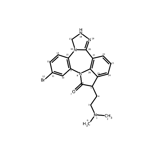 CN(C)CCC1C(=O)N2c3cc(Br)ccc3N3CNN=C3c3cccc1c32